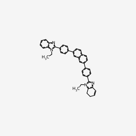 CCn1c(-c2ccc(-c3ccc4ccc(-c5ccc(-c6nc7ccccc7n6CC)cc5)cc4c3)cc2)nc2c1CCC=C2